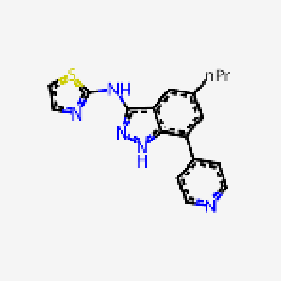 CCCc1cc(-c2ccncc2)c2[nH]nc(Nc3nccs3)c2c1